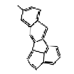 Fc1ccc2cc3c(cc2c1)-c1cccc2cccc-3c12